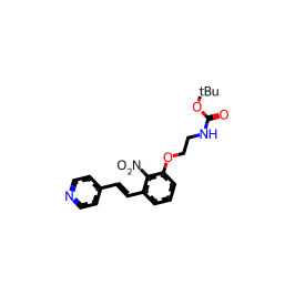 CC(C)(C)OC(=O)NCCOc1cccc(C=Cc2ccncc2)c1[N+](=O)[O-]